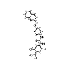 Cc1cc([N+](=O)[O-])c(Cl)cc1NC(=S)Nc1ccc(OCc2ccc3ccccc3n2)cc1